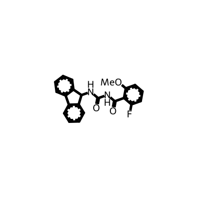 COc1cccc(F)c1C(=O)NC(=O)NC1c2ccccc2-c2ccccc21